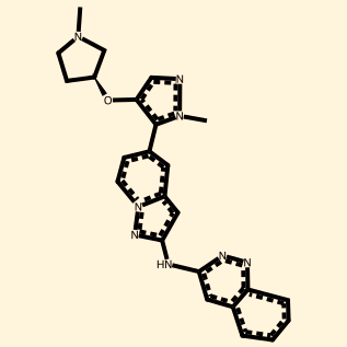 CN1CC[C@H](Oc2cnn(C)c2-c2ccn3nc(Nc4cc5ccccc5nn4)cc3c2)C1